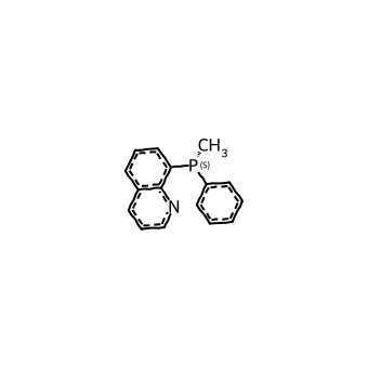 C[P@](c1ccccc1)c1cccc2cccnc12